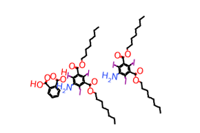 CCCCCCCCOC(=O)c1c(I)c(N)c(I)c(C(=O)OCCCCCCCC)c1I.CCCCCCCCOC(=O)c1c(I)c(N)c(I)c(C(=O)OCCCCCCCC)c1I.O=C(O)c1ccccc1C(=O)O